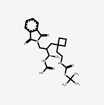 C[C@@H](NC(=O)O)C(CN1C(=O)c2ccccc2C1=O)CC1(CCNC(=O)OC(C)(C)C)CCC1